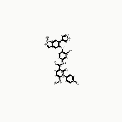 CCn1ncc2cc(Oc3ccc(NC(=O)c4ccc(OC(C)C)n(-c5ccc(F)cc5)c4=O)cc3F)c(-c3cn[nH]c3)cc21